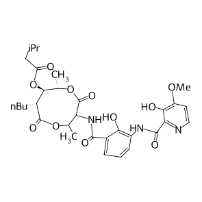 CCCC[C@H]1C(=O)OC(C)C(NC(=O)c2cccc(NC(=O)c3nccc(OC)c3O)c2O)C(=O)O[C@@H](C)[C@@H]1OC(=O)CC(C)C